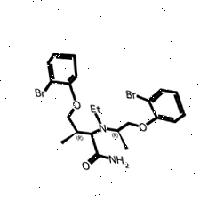 CCN(C(C(N)=O)[C@@H](C)COc1ccccc1Br)[C@H](C)COc1ccccc1Br